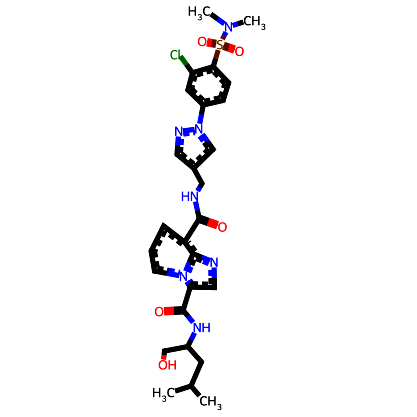 CC(C)CC(CO)NC(=O)c1cnc2c(C(=O)NCc3cnn(-c4ccc(S(=O)(=O)N(C)C)c(Cl)c4)c3)cccn12